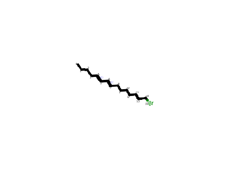 CCCC/C=C/C=C/CCCCCCCBr